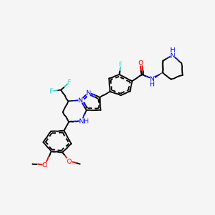 COc1ccc(C2CC(C(F)F)n3nc(-c4ccc(C(=O)N[C@@H]5CCCNC5)c(F)c4)cc3N2)cc1OC